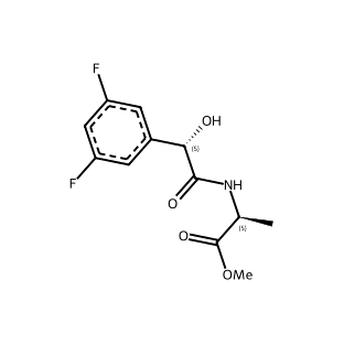 COC(=O)[C@H](C)NC(=O)[C@@H](O)c1cc(F)cc(F)c1